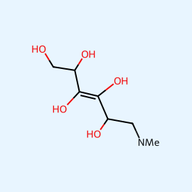 CNCC(O)/C(O)=C(\O)C(O)CO